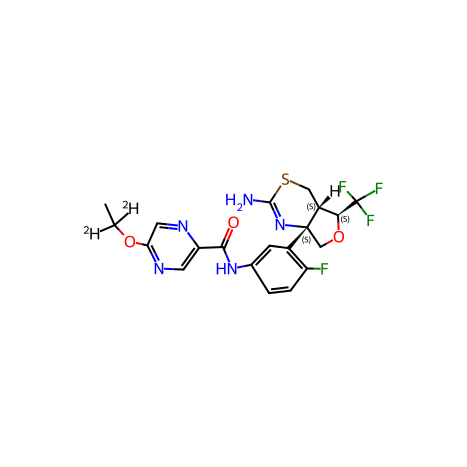 [2H]C([2H])(C)Oc1cnc(C(=O)Nc2ccc(F)c([C@]34CO[C@H](C(F)(F)F)[C@H]3CSC(N)=N4)c2)cn1